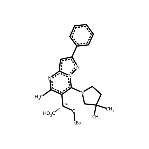 Cc1nc2cc(-c3ccccc3)nn2c(N2CCC(C)(C)C2)c1[C@H](OC(C)(C)C)C(=O)O